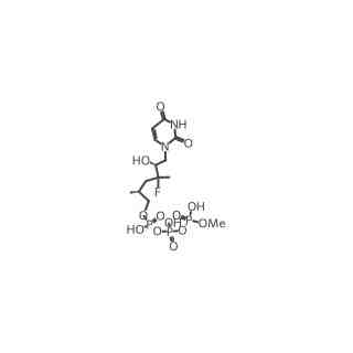 COP(=O)(O)OP(=O)(O)OP(=O)(O)OC[C@@H](C)CC(C)(F)[C@@H](O)Cn1ccc(=O)[nH]c1=O